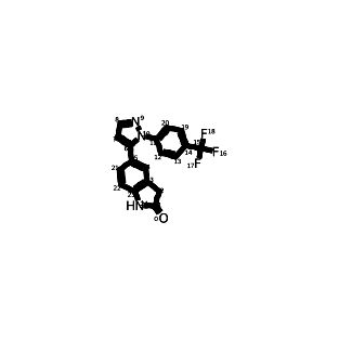 O=C1Cc2cc(-c3ccnn3-c3ccc(C(F)(F)F)cc3)ccc2N1